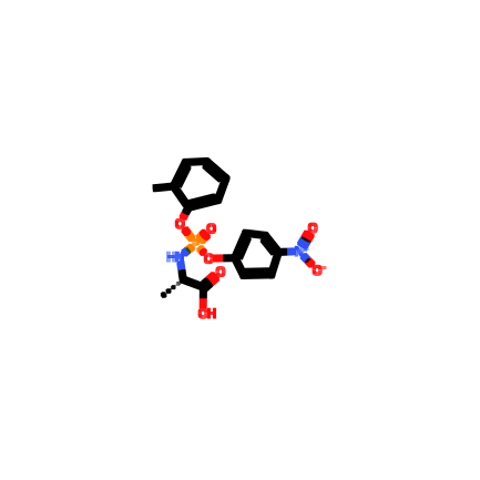 Cc1ccccc1OP(=O)(N[C@@H](C)C(=O)O)Oc1ccc([N+](=O)[O-])cc1